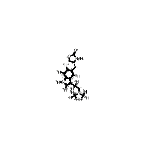 [2H]c1c(C[C@H]2COC(=O)N2[2H])c([2H])c2c(C([2H])([2H])CN(C([2H])([2H])[2H])C([2H])([2H])[2H])c([2H])n([2H])c2c1[2H]